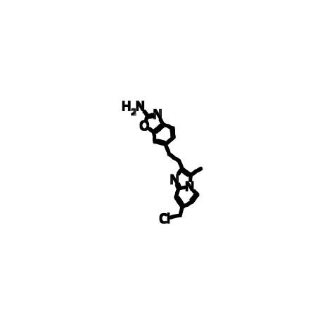 Cc1c(CCc2ccc3nc(N)oc3c2)nc2cc(CCl)ccn12